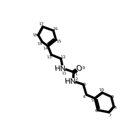 O=C(NCCC1=CCCCC1)NCCC1=CCCCC1